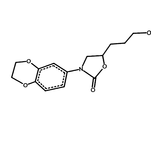 O=C1OC(CCCO)CN1c1ccc2c(c1)OCCO2